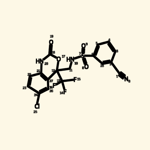 N#Cc1cccc(S(=O)(=O)NCC2(C(F)(F)F)OC(=O)Nc3ccc(Cl)cc32)c1